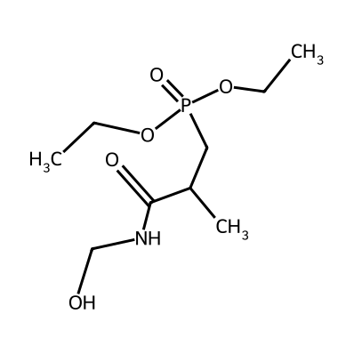 CCOP(=O)(CC(C)C(=O)NCO)OCC